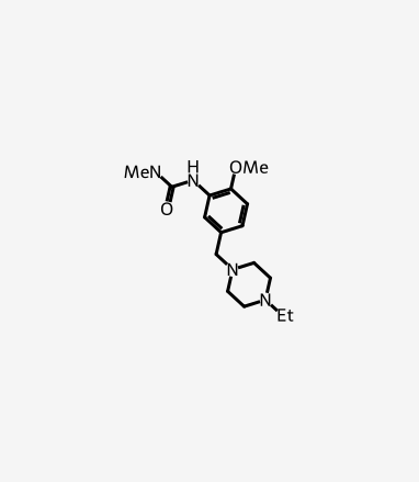 CCN1CCN(Cc2ccc(OC)c(NC(=O)NC)c2)CC1